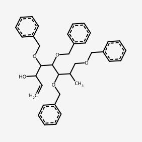 C=CC(O)C(OCc1ccccc1)C(OCc1ccccc1)C(OCc1ccccc1)C(C)COCc1ccccc1